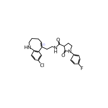 O=C(NCC/C1=C/CCCNc2ccc(Cl)cc21)C1CCN(c2ccc(F)cc2)C1=O